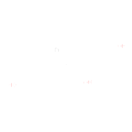 CC(C)C(CO)(c1ccc(O)cc1)c1ccc(O)cc1